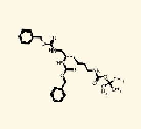 CC(C)(C)OC(=O)NCCCC[C@@H](CNC(=O)OCc1ccccc1)NC(=O)OCc1ccccc1